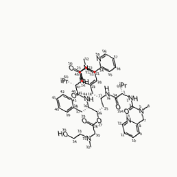 CC(C)[C@H](NC(=O)N(C)Cc1ccccn1)C(=O)N[C@@H](Cc1ccccc1)C[C@H](OC(=O)CN(C)CCO)[C@H](Cc1ccccc1)NC(=O)[C@@H](NC(=O)N(C)Cc1ccccn1)C(C)C